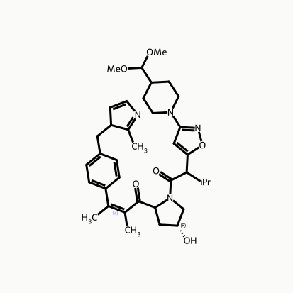 COC(OC)C1CCN(c2cc(C(C(=O)N3C[C@H](O)CC3C(=O)/C(C)=C(/C)c3ccc(CC4C=CN=C4C)cc3)C(C)C)on2)CC1